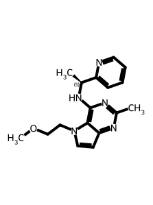 COCCn1ccc2nc(C)nc(N[C@@H](C)c3ccccn3)c21